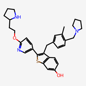 Cc1cc(Cc2c(-c3ccc(OCCC4CCCN4)nc3)sc3cc(O)ccc23)ccc1CN1CCCC1